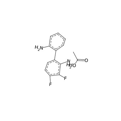 CC(=O)O.Nc1ccccc1-c1ccc(F)c(F)c1N